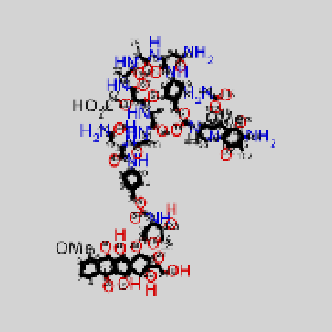 COc1cccc2c1C(=O)c1c(O)c3c(c(O)c1C2=O)C[C@@](O)(C(=O)CO)C[C@@H]3O[C@H]1C[C@H](NC(=O)OCc2ccc(NC(=O)[C@H](CC(N)=O)NC(=O)[C@H](C)NC(=O)[C@H](C)NC(=O)C(OCC(=O)O)C(=O)N[C@@H](C)C(=O)N[C@@H](C)C(=O)N[C@@H](CC(N)=O)C(=O)Nc3ccc(COC(=O)N4C5[C@@H]4CN4C6=C(C(=O)C(N)=C(C)C6=O)[C@@H](COC(N)=O)[C@@]54OC)cc3)cc2)[C@H](O)[C@H](C)O1